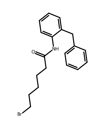 O=C(CCCCCBr)Nc1ccccc1Cc1ccccc1